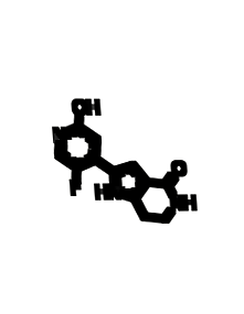 O=C1NCCc2[nH]c(-c3cc(O)ncc3F)cc21